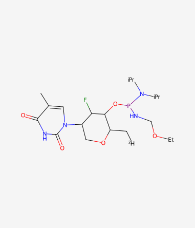 [2H]CC1OCC(n2cc(C)c(=O)[nH]c2=O)C(F)C1OP(NCOCC)N(C(C)C)C(C)C